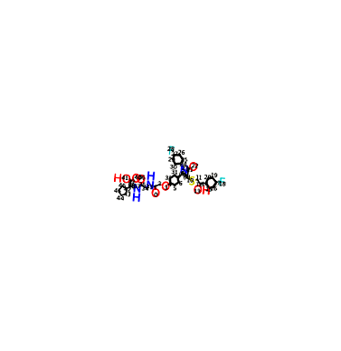 O=C(COc1ccc([C@@H]2[C@@H](SCC(O)c3ccc(F)cc3)C(=O)N2c2ccc(F)cc2)cc1)NCC(=O)N[C@@H](C(=O)O)C1CCCC1